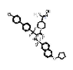 N/C(=N\O)C1CCN(C(=O)[C@@H](NS(=O)(=O)c2ccc3cc(OC4CCCC4)ccc3c2)C(F)(F)c2ccc(-c3ccc(Cl)cc3)cc2)CC1